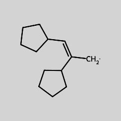 [CH2]C(=CC1CCCC1)C1CCCC1